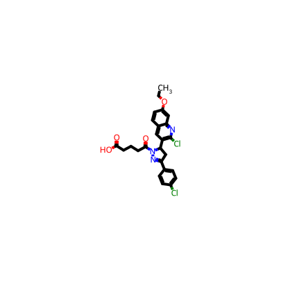 CCOc1ccc2cc(C3CC(c4ccc(Cl)cc4)=NN3C(=O)CCCC(=O)O)c(Cl)nc2c1